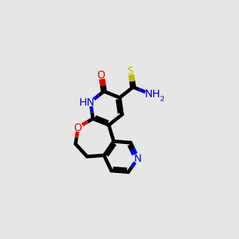 NC(=S)c1cc2c([nH]c1=O)OCCc1ccncc1-2